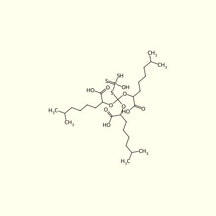 CC(C)CCCCC(OC(OC(CCCCC(C)C)C(=O)O)(OC(CCCCC(C)C)C(=O)O)SP(O)(=S)S)C(=O)O